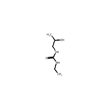 CCNC(=O)NCC(C)O